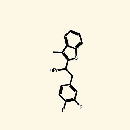 CCCC(Cc1ccc(F)c(F)c1)c1sc2ccccc2c1C